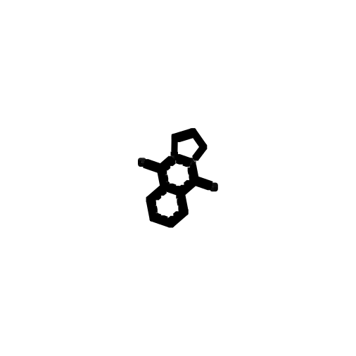 O=c1c2ccccc2c(=O)n2n1C=CC2